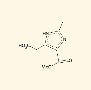 COC(=O)c1nc(C)[nH]c1CC(=O)O